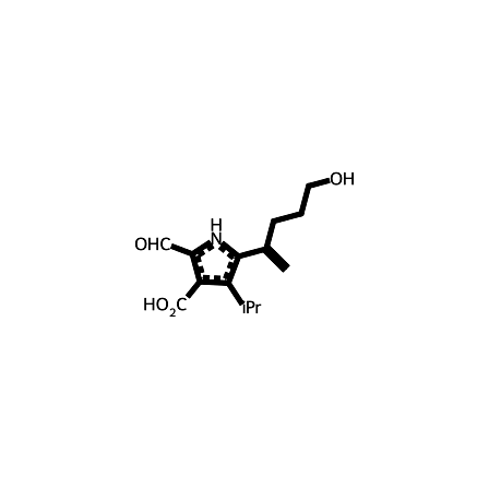 C=C(CCCO)c1[nH]c(C=O)c(C(=O)O)c1C(C)C